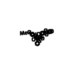 COc1ccc(NC(=O)c2c(NC(=O)c3cc(S(=O)(=O)N4CCOCC4)ccc3O)sc3c2CCCC3)cc1